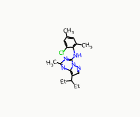 CCC(CC)c1cnn2c(Nc3c(C)cc(C)cc3Cl)nc(C)nc12